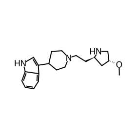 CO[C@H]1CN[C@H](CCN2CCC(c3c[nH]c4ccccc34)CC2)C1